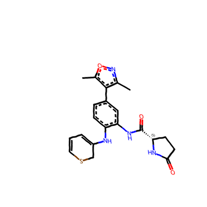 Cc1noc(C)c1-c1ccc(NC2=CC=CSC2)c(NC(=O)[C@@H]2CCC(=O)N2)c1